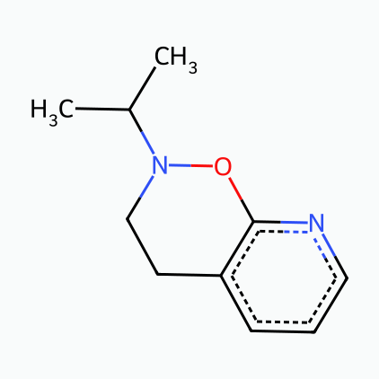 CC(C)N1CCc2cccnc2O1